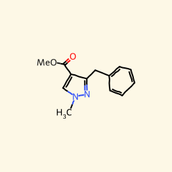 COC(=O)c1cn(C)nc1Cc1ccccc1